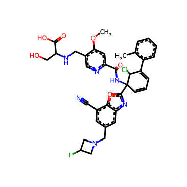 COc1cc(C(=O)NC2(c3nc4cc(CN5CC(F)C5)cc(C#N)c4o3)C=CC=C(c3ccccc3C)C2Cl)ncc1CNC(CO)C(=O)O